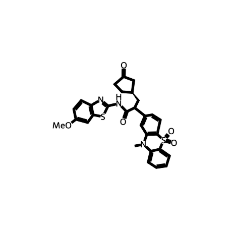 COc1ccc2nc(NC(=O)C(C[C@H]3CCC(=O)C3)c3ccc4c(c3)N(C)c3ccccc3S4(=O)=O)sc2c1